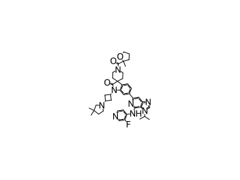 CC(C)n1cnc2cc(-c3ccc4c(c3)N([C@H]3C[C@@H](N5CCC(C)(C)C5)C3)C(=O)C43CCN(C(=O)C4(C)CCCO4)CC3)nc(Nc3ccncc3F)c21